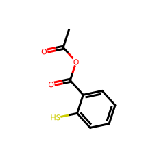 CC(=O)OC(=O)c1ccccc1S